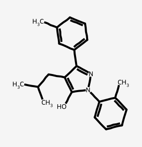 Cc1cccc(-c2nn(-c3ccccc3C)c(O)c2CC(C)C)c1